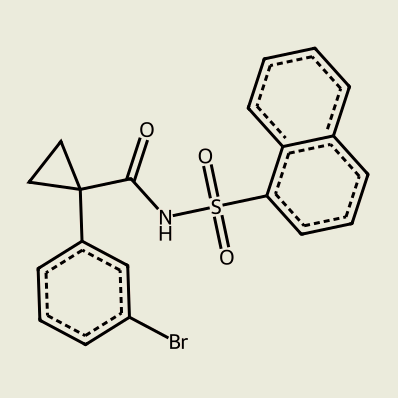 O=C(NS(=O)(=O)c1cccc2ccccc12)C1(c2cccc(Br)c2)CC1